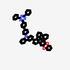 c1ccc(-c2nc(-c3ccccc3)nc(-c3ccc(-c4ccc(-n5c6ccccc6c6cc(-c7ccc8c(c7)C7(c9ccccc9-c9ccccc97)c7cc9c(cc7-8)Oc7ccccc7O9)ccc65)cc4)cc3)n2)cc1